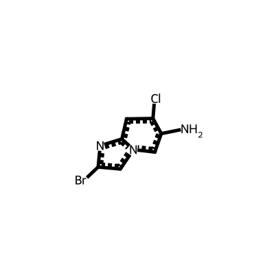 Nc1cn2cc(Br)nc2cc1Cl